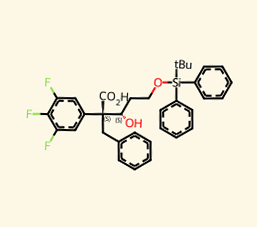 CC(C)(C)[Si](OCC[C@H](O)[C@@](Cc1ccccc1)(C(=O)O)c1cc(F)c(F)c(F)c1)(c1ccccc1)c1ccccc1